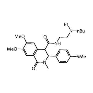 CCCCN(CC)CCNC(=O)C1c2cc(OC)c(OC)cc2C(=O)N(C)C1c1ccc(SC)cc1